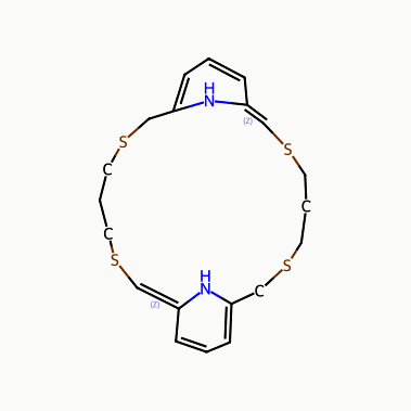 C1=C/C2=C/SCCCSCC3=CC=C/C(=C/SCCCSCC(=C1)N2)N3